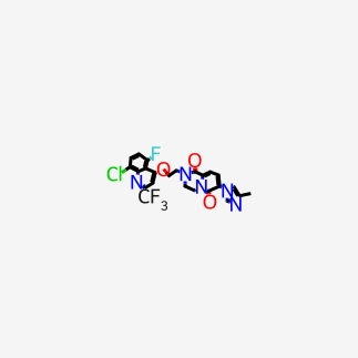 Cc1cn(-c2ccc3n(c2=O)CCN(CCOc2cc(C(F)(F)F)nc4c(Cl)ccc(F)c24)C3=O)cn1